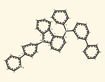 c1ccc(-c2cccc(N(c3ccccc3)c3cccc4c3c3ccccc3n4-c3ccc(-c4ccccn4)cc3)c2)cc1